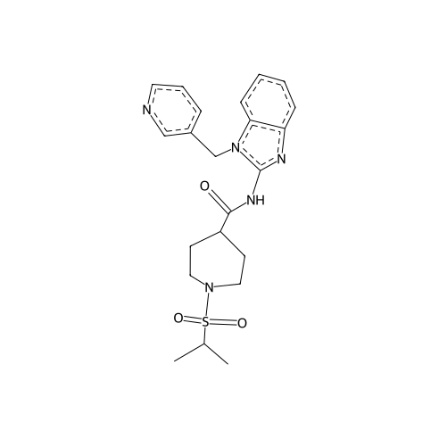 CC(C)S(=O)(=O)N1CCC(C(=O)Nc2nc3ccccc3n2Cc2cccnc2)CC1